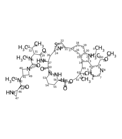 CCn1c(-c2cccnc2[C@H](C)OC)c2c3cc(ccc31)-c1csc(n1)C[C@H](NC(=O)C(C(C)C)N(C)C(=O)N1CC(N(C)C(=O)[C@H]3CN3)C1)C(=O)N1CCC[C@H](N1)C(=O)OCC(C)(C)C2